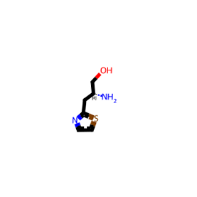 N[C@@H](CO)Cc1nccs1